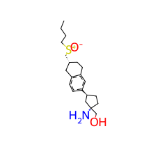 CCCC[S+]([O-])C[C@@H]1CCc2cc([C@H]3CC[C@](N)(CO)C3)ccc2C1